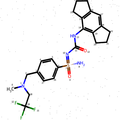 CN(Cc1ccc([S@](N)(=O)=NC(=O)Nc2c3c(cc4c2CCC4)CCC3)cc1)CC(F)(F)F